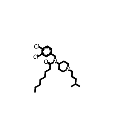 CCCCCCCC(=O)N(Cc1ccc(Cl)c(Cl)c1)C1CCN(CCCC(C)C)CC1